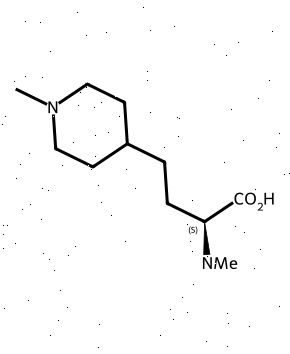 CN[C@@H](CCC1CCN(C)CC1)C(=O)O